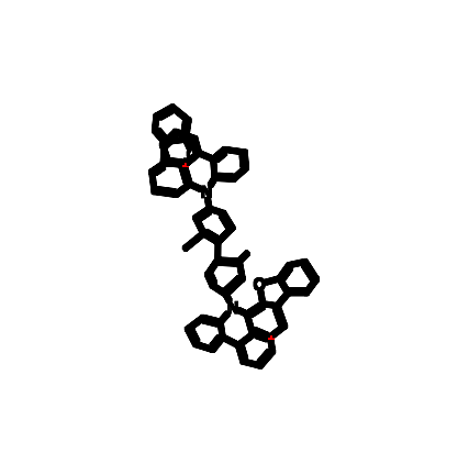 Cc1cc(N(c2ccccc2-c2ccccc2)c2cccc3c2oc2ccccc23)ccc1-c1ccc(N(c2ccccc2-c2ccccc2)c2cccc3c2oc2ccccc23)cc1C